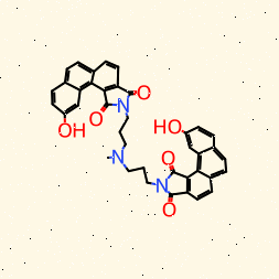 CN(CCCN1C(=O)c2ccc3ccc4ccc(O)cc4c3c2C1=O)CCCN1C(=O)c2ccc3ccc4ccc(O)cc4c3c2C1=O